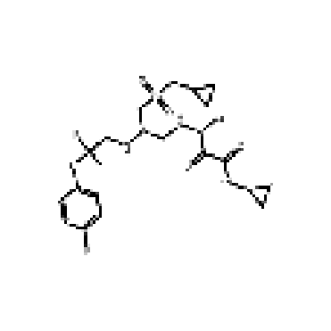 CC[C@H](NC[C@H](CS(=O)(=O)CC1CC1)NCC(F)(F)Oc1ccc(F)cc1)C(=O)C(=O)NC1CC1